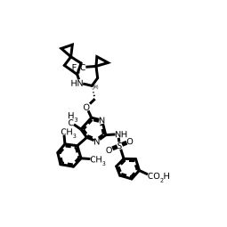 Cc1cccc(C)c1-c1nc(NS(=O)(=O)c2cccc(C(=O)O)c2)nc(OC[C@@H](CC2(C(F)(F)F)CC2)NC2CC3(CC3)C2)c1C